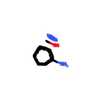 CO.N#N.Nc1ccccc1